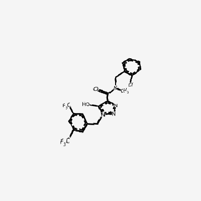 CN(Cc1ccccc1Cl)C(=O)c1nnn(Cc2cc(C(F)(F)F)cc(C(F)(F)F)c2)c1O